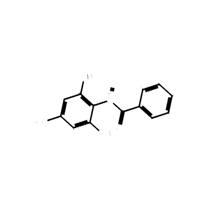 Cc1cc(C)c([PH](=O)C(=O)c2ccccc2)c(C)c1